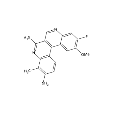 COc1cc2c(cc1F)ncc1c(N)nc3c(C)c(N)ccc3c12